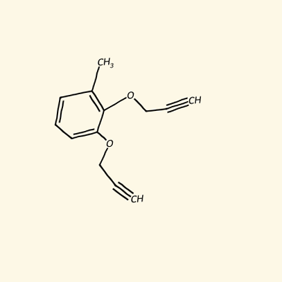 C#CCOc1cccc(C)c1OCC#C